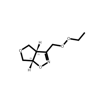 CCOOCC1=NO[C@@H]2COC[C@H]12